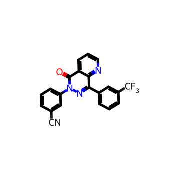 N#Cc1cccc(-n2nc(-c3cccc(C(F)(F)F)c3)c3ncccc3c2=O)c1